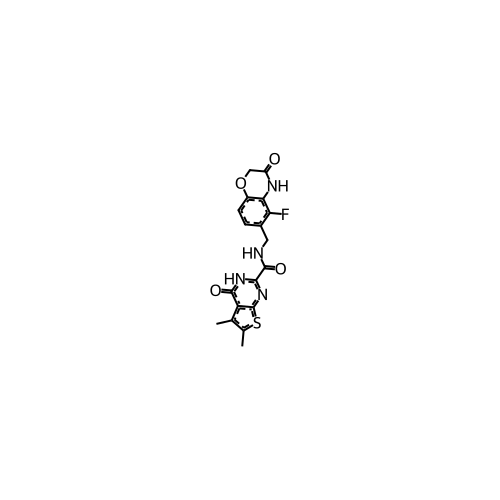 Cc1sc2nc(C(=O)NCc3ccc4c(c3F)NC(=O)CO4)[nH]c(=O)c2c1C